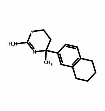 CC1(c2ccc3c(c2)CCCC3)CCSC(N)=N1